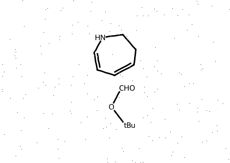 C1=CCCNC=C1.CC(C)(C)OC=O